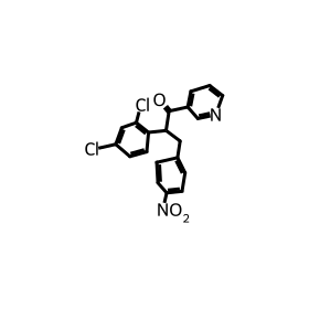 O=C(c1cccnc1)C(Cc1ccc([N+](=O)[O-])cc1)c1ccc(Cl)cc1Cl